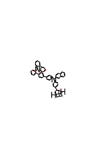 c1ccc(-n2c3ccccc3c3ccccc32)c(-c2ccc(-c3ccc(N(c4ccc(C56C[C@@H]7CC8C[C@@H](C5)C87C6)cc4)c4ccc5ccccc5c4)cc3)cc2)c1